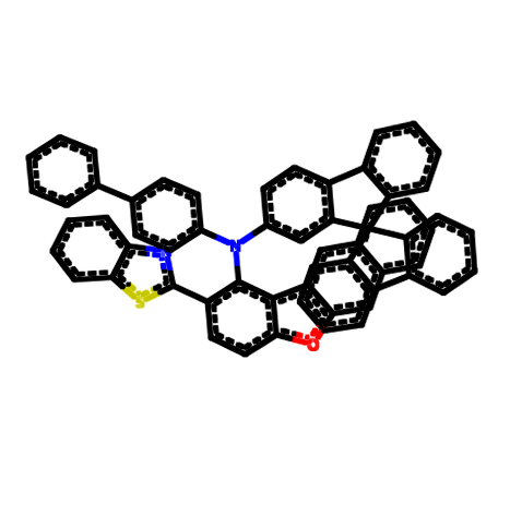 c1ccc(-c2ccc(N(c3ccc4c(c3)C3(c5ccccc5-c5ccccc53)c3ccccc3-4)c3c(-c4nc5ccccc5s4)ccc4oc5cc6ccccc6cc5c34)cc2)cc1